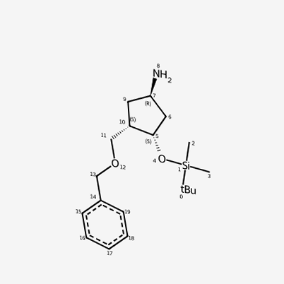 CC(C)(C)[Si](C)(C)O[C@H]1C[C@H](N)C[C@H]1COCc1ccccc1